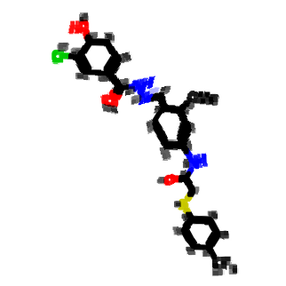 COc1cc(NC(=O)CSc2ccc(C(F)(F)F)cc2)ccc1/C=N/NC(=O)C1=CCC(O)C(Cl)=C1